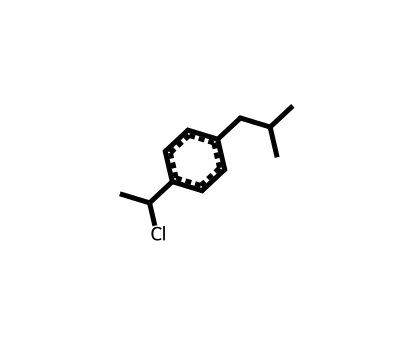 CC(C)Cc1ccc(C(C)Cl)cc1